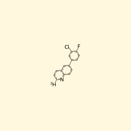 [2H]c1ccc2cc(-c3ccc(F)c(Cl)c3)ccc2n1